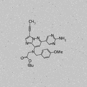 CC#Cc1cnc2c(N(CC(=O)OC(C)(C)C)Cc3ccc(OC)cc3)cc(-c3cnc(N)nc3)nn12